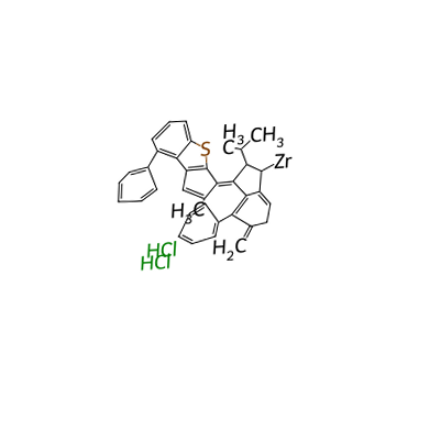 C=C1CC=C2C(=C1c1ccccc1)C(=C1C(C)=Cc3c1sc1cccc(-c4ccccc4)c31)C(C(C)C)[CH]2[Zr].Cl.Cl